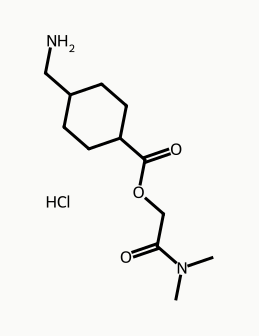 CN(C)C(=O)COC(=O)C1CCC(CN)CC1.Cl